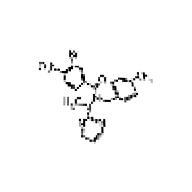 CN(c1ncccn1)N(Cc1ccc(C(F)(F)F)cc1)C(=O)c1ccc([N+](=O)[O-])c(Br)c1